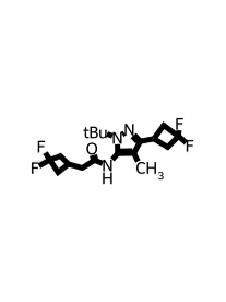 Cc1c(C2CC(F)(F)C2)nn(C(C)(C)C)c1NC(=O)CC1CC(F)(F)C1